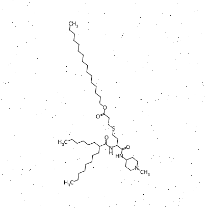 CCCCCCCCCCCCCCCCOC(=O)CCSCCC(NC(=O)C(CCCCCC)CCCCCCCC)C(=O)NC1CCN(C)CC1